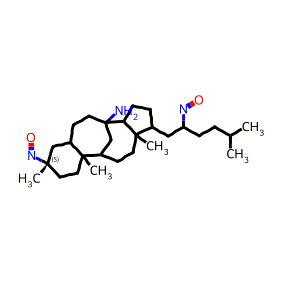 CC(C)CCC(CC1CCC2C3(N)CCC4C[C@@](C)(N=O)CCC4(C)C(CCC12C)C3)N=O